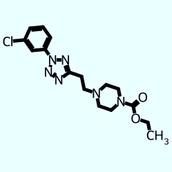 CCOC(=O)N1CCN(CCc2nnn(-c3cccc(Cl)c3)n2)CC1